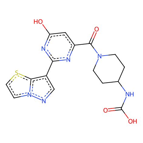 O=C(O)NC1CCN(C(=O)c2cc(O)nc(-c3cnn4ccsc34)n2)CC1